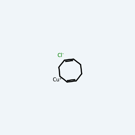 C1=C\CC/C=C\CC/1.[Cl-].[Cu+]